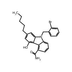 CCCCCc1cc(O)c2c3c(C(N)=O)cccc3n(Cc3ccccc3Br)c2c1